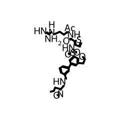 CC(=O)C(CCCNC(=N)N)NC(=O)c1sccc1NS(=O)(=O)c1cc(-c2cccc(CNCC3=NOC(C)C3)c2)cc2c1OCC2